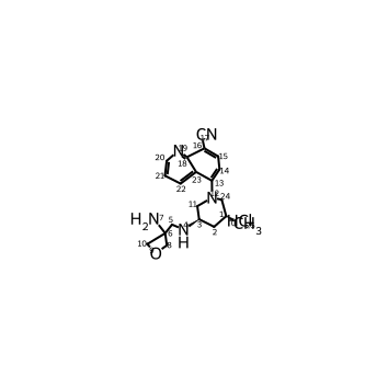 C[C@H]1C[C@@H](NCC2(N)COC2)CN(c2ccc(C#N)c3ncccc23)C1.Cl